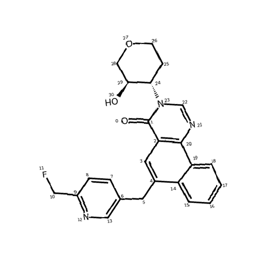 O=c1c2cc(Cc3ccc(CF)nc3)c3ccccc3c2ncn1[C@H]1CCOC[C@@H]1O